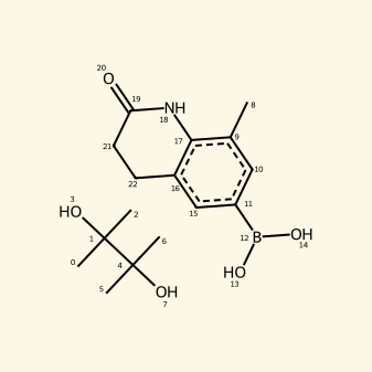 CC(C)(O)C(C)(C)O.Cc1cc(B(O)O)cc2c1NC(=O)CC2